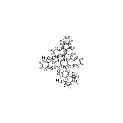 Cc1cc2c(cc1N1c3cc4c(cc3B3c5c1cc1ccccc1c5-c1ccc5c(sc6ccccc65)c1N3c1ccccc1-c1ccccc1)C(C)(C)c1ccccc1S4)C(C)(C)CCC2(C)C